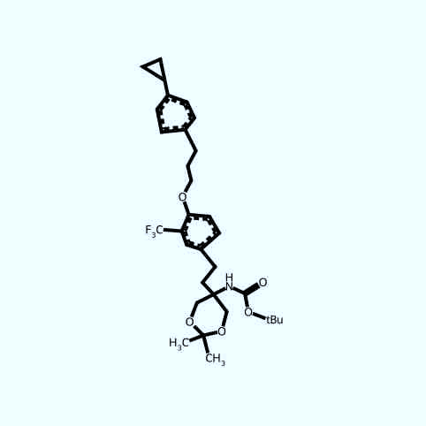 CC(C)(C)OC(=O)NC1(CCc2ccc(OCCCc3ccc(C4CC4)cc3)c(C(F)(F)F)c2)COC(C)(C)OC1